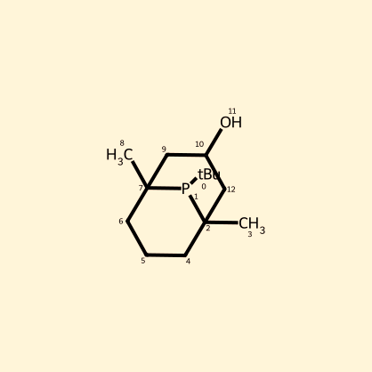 CC(C)(C)P1C2(C)CCCC1(C)CC(O)C2